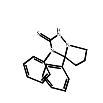 S=C1NN2CCCC2(c2ccccc2)N1c1ccccc1